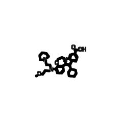 COCCCN(CCN1CCCCC1)c1cccc2c1OCCn1c-2c(C2CCCCC2)c2ccc(C(=O)O)cc21